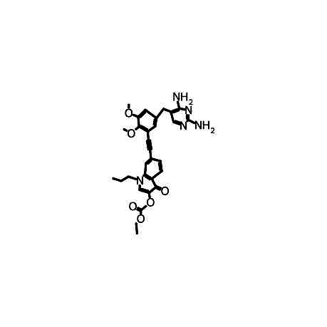 CCCn1cc(OC(=O)OCC)c(=O)c2ccc(C#Cc3cc(Cc4cnc(N)nc4N)cc(OC)c3OC)cc21